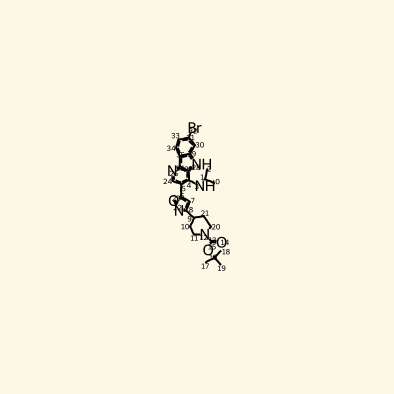 CC(C)Nc1c(-c2cc(C3CCN(C(=O)OC(C)(C)C)CC3)no2)cnc2c1[nH]c1cc(Br)ccc12